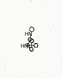 c1ccc(C(c2ccccc2)(c2ccccc2)c2n[nH]cc2-c2ccc(CNC3CCCCCC3)cc2)cc1